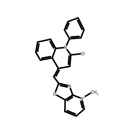 C[n+]1cccc2oc(/C=C3\C=C(Cl)N(c4ccccc4)c4ccccc43)nc21